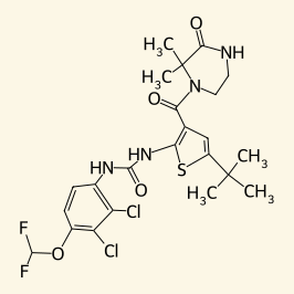 CC(C)(C)c1cc(C(=O)N2CCNC(=O)C2(C)C)c(NC(=O)Nc2ccc(OC(F)F)c(Cl)c2Cl)s1